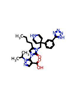 CCCCc1cn(-c2c(C(=O)O)cnn2C(C)C)c(=O)n1CC1(c2cccc(-c3nnn[nH]3)c2)C=CNC=C1